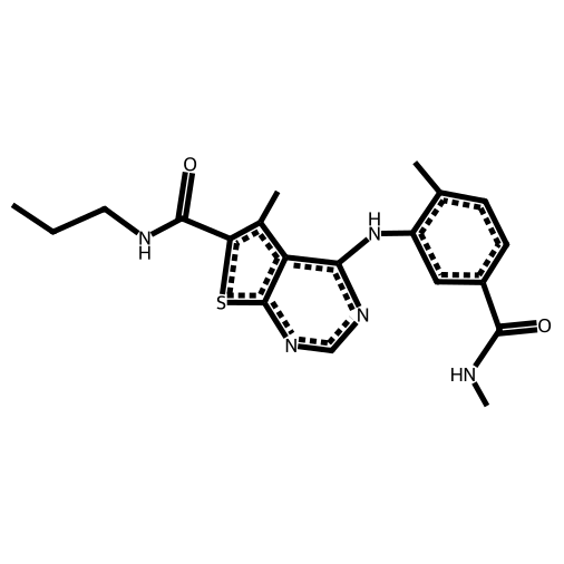 CCCNC(=O)c1sc2ncnc(Nc3cc(C(=O)NC)ccc3C)c2c1C